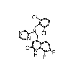 O=c1cc(CN(Cc2c(Cl)cccc2Cl)c2cnccn2)c2ccc(F)c(F)c2[nH]1